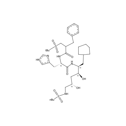 CCCCS(=O)(=O)NC[C@@H](O)C[C@H](O)[C@H](CC1CCCCC1)NC(=O)[C@H](Cc1c[nH]cn1)NC(=O)C(Cc1ccccc1)CS(=O)(=O)C(C)(C)C